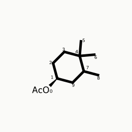 CC(=O)O[C@H]1CCC(C)(C)C(C)C1